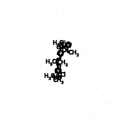 C=CCOC(C(=O)N1CCC(CCC(C)(C)COc2ccc(C(=O)N(C)C)c(Cl)c2)CC1)(c1ccccc1)C(C)(F)F